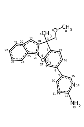 COCC(C)(c1ccc(-c2cnc(N)nc2)cc1)c1cc2ccccc2n1C